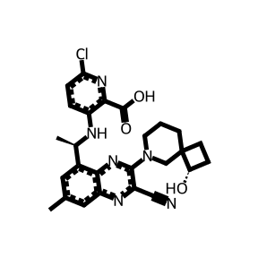 Cc1cc([C@@H](C)Nc2ccc(Cl)nc2C(=O)O)c2nc(N3CCCC4(CC[C@@H]4O)C3)c(C#N)nc2c1